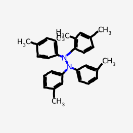 Cc1cccc(N(c2cccc(C)c2)N(c2ccc(C)cc2C)c2ccc(C)cc2C)c1